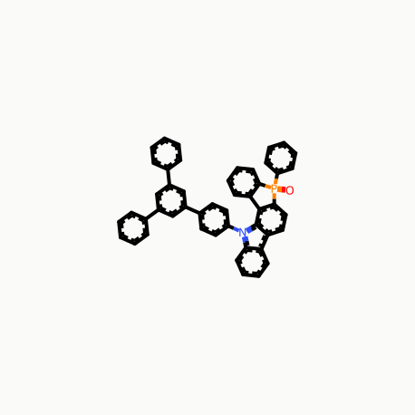 O=P1(c2ccccc2)c2ccccc2-c2c1ccc1c3ccccc3n(-c3ccc(-c4cc(-c5ccccc5)cc(-c5ccccc5)c4)cc3)c21